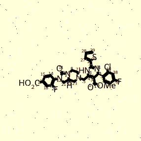 COC(=O)C1=C(CN2CCN3C(=O)N(c4ccc(C(=O)O)cc4F)C[C@@H]3C2)NC(c2cccs2)=N[C@H]1c1ccc(F)cc1Cl